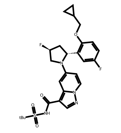 CC(C)(C)S(=O)(=O)NC(=O)c1cnn2ccc(N3C[C@@H](F)C[C@@H]3c3cc(F)ccc3OCC3CC3)cc12